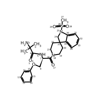 CC(C)(N)C(=O)N[C@H](COc1ccccc1)C(=O)N1CCC2(CC1)CN(S(C)(=O)=O)c1ccccc12